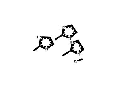 CS.Cc1ncc[nH]1.Cc1ncc[nH]1.Cc1ncc[nH]1